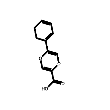 O=C(O)C1=COC(C2=CC=CCC2)=CO1